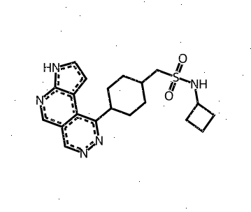 O=S(=O)(CC1CCC(c2nncc3cnc4[nH]ccc4c23)CC1)NC1CCC1